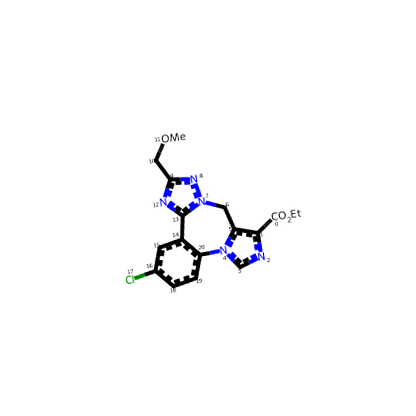 CCOC(=O)c1ncn2c1Cn1nc(COC)nc1-c1cc(Cl)ccc1-2